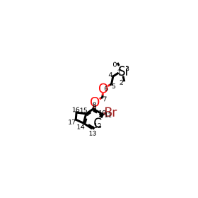 C[Si](C)(C)CCOCOc1c(Br)ccc2c1CC2